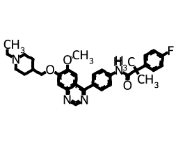 CCN1CCC(COc2cc3ncnc(-c4ccc(NC(=O)C(C)(C)c5ccc(F)cc5)cc4)c3cc2OC)CC1